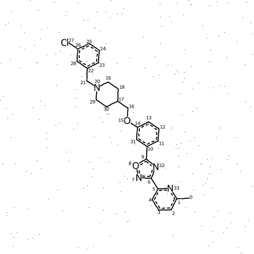 Cc1cccc(-c2noc(-c3cccc(OCC4CCN(Cc5cccc(Cl)c5)CC4)c3)n2)n1